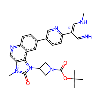 CN/C=C(\C=N)c1ccc(-c2ccc3ncc4c(c3c2)n(C2CN(C(=O)OC(C)(C)C)C2)c(=O)n4C)cn1